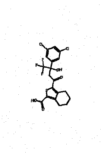 O=C(O)c1sc(C(=O)CC(O)(c2cc(Cl)cc(Cl)c2)C(F)(F)F)c2c1CCCC2